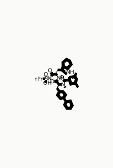 CCCS(=O)(=O)NC(=O)[C@H](Cc1c[nH]c2ccccc12)NC(=O)[C@H](Cc1ccc(-c2ccccc2)cc1)N(C)C(=O)c1cc(C)cc(C)c1